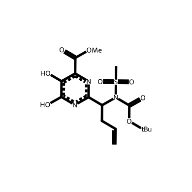 C=CCC(c1nc(O)c(O)c(C(=O)OC)n1)N(C(=O)OC(C)(C)C)S(C)(=O)=O